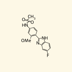 COc1cc(NS(C)(=O)=O)ccc1-c1nc2cc(F)ccc2[nH]1